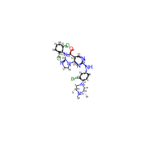 C[C@@H]1CN(c2ccc(Nc3ncc4c(n3)N3CCN=C3N(c3c(Cl)cccc3Cl)C4=O)cc2Br)C[C@H](C)N1C